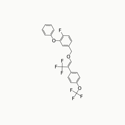 Fc1ccc(COC=C(c2ccc(OC(F)(F)F)cc2)C(F)(F)F)cc1Oc1ccccc1